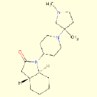 CN1CCC(C)(N2CCC(N3C(=O)C[C@H]4CCCC[C@@H]43)CC2)C1